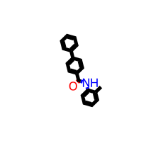 Cc1ccccc1NC(=O)c1ccc(-c2ccccc2)cc1